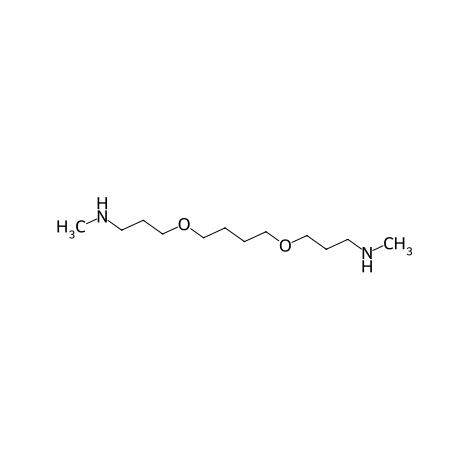 CNCCCOCCCCOCCCNC